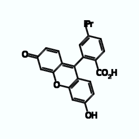 CC(C)c1ccc(C(=O)O)c(-c2c3ccc(=O)cc-3oc3cc(O)ccc23)c1